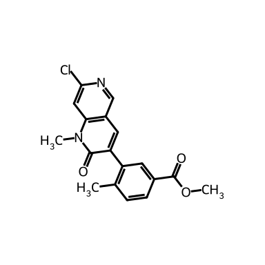 COC(=O)c1ccc(C)c(-c2cc3cnc(Cl)cc3n(C)c2=O)c1